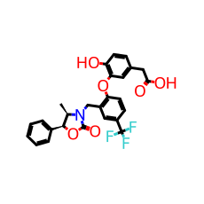 C[C@@H]1[C@H](c2ccccc2)OC(=O)N1Cc1cc(C(F)(F)F)ccc1Oc1cc(CC(=O)O)ccc1O